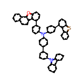 c1cc(-c2cccc3oc4c5ccccc5ccc4c23)cc(N(c2ccc(-c3cccc(-n4c5ccccc5c5ccccc54)c3)cc2)c2ccc(-c3cccc4sc5ccccc5c34)cc2)c1